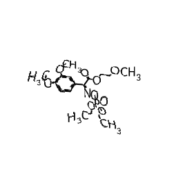 CCOP(=O)(OCC)O/N=C(\C(=O)OCCOC)c1ccc(OC)c(OC)c1